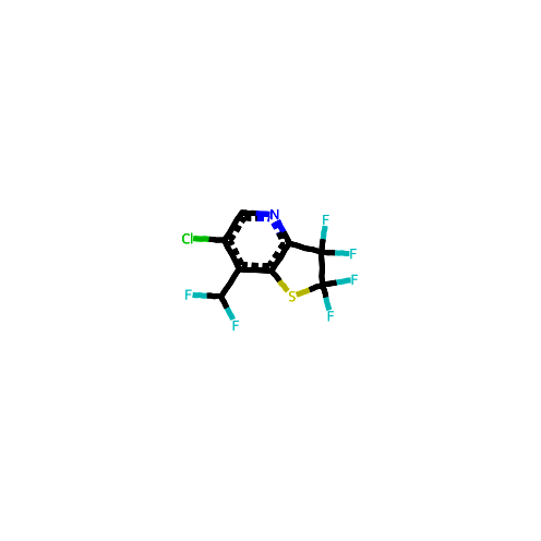 FC(F)c1c(Cl)cnc2c1SC(F)(F)C2(F)F